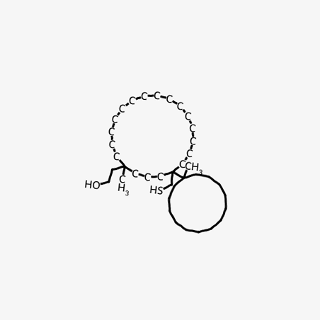 CC1(CCO)CCCCCCCCCCCCCCCC(CS)(C2(C)CCCCCCCCCCCCC2)CCC1